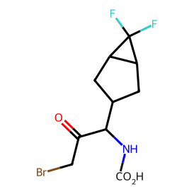 O=C(O)NC(C(=O)CBr)C1CC2C(C1)C2(F)F